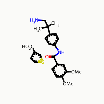 COc1ccc(C(=O)Nc2ccc(C(C)(C)CN)cc2)cc1OC.O=C(O)c1ccsc1